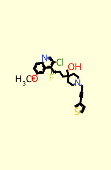 COc1ccc2ncc(Cl)c([C@@H](F)CCC3(CO)CCN(CC#Cc4ccsc4)CC3)c2c1